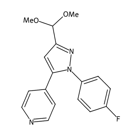 COC(OC)c1cc(-c2ccncc2)n(-c2ccc(F)cc2)n1